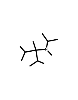 CC(C)N(C)C(C)(C(C)C)C(C)C